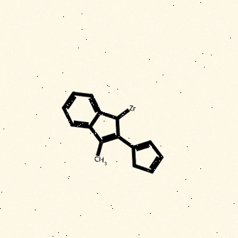 CC1=C(C2=CC=CC2)[CH]([Zr])c2ccccc21